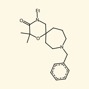 CCN1CC2(CCCN(Cc3ccccc3)CC2)OC(C)(C)C1=O